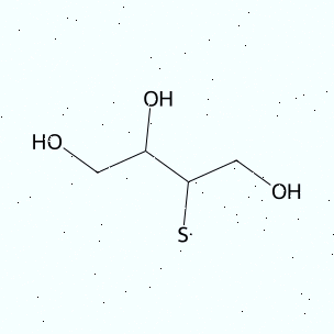 OCC(O)C([S])CO